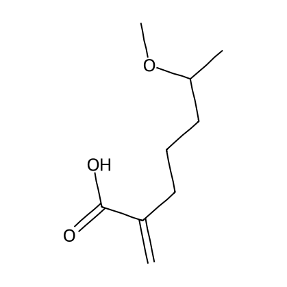 C=C(CCCC(C)OC)C(=O)O